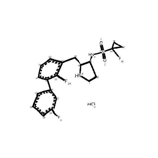 Cl.O=S(=O)(N[C@H]1CCN[C@H]1Cc1cccc(-c2cccc(F)c2)c1F)C1(F)CC1